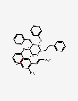 Cc1cc(Cl)cc([C@H]2O[C@H](COc3ccccc3)[C@@H](Oc3ccccc3)[C@H](Oc3ccccc3)[C@@H]2Oc2ccccc2)c1/C=C/C(=O)O